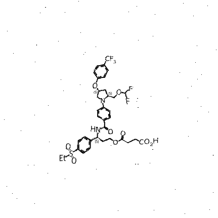 CCS(=O)(=O)c1ccc([C@H](CCOC(=O)CCC(=O)O)NC(=O)c2ccc(N3C[C@@H](Oc4ccc(C(F)(F)F)cc4)C[C@H]3COC(F)F)cc2)cc1